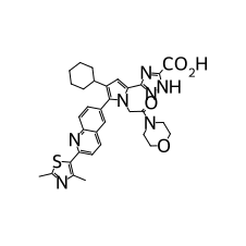 Cc1nc(C)c(-c2ccc3cc(-c4c(C5CCCCC5)cc(-c5n[nH]c(C(=O)O)n5)n4CC(=O)N4CCOCC4)ccc3n2)s1